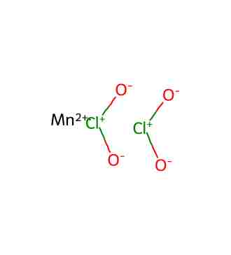 [Mn+2].[O-][Cl+][O-].[O-][Cl+][O-]